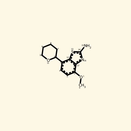 COc1ccc(C2CCCCO2)c2sc(N)nc12